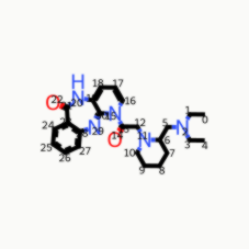 CCN(CC)CC1CCCCN1CC(=O)N1C=CC=C2NC(=O)c3ccccc3N=C21